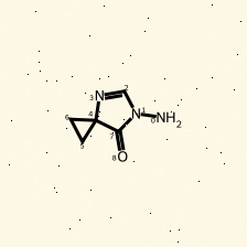 NN1C=NC2(CC2)C1=O